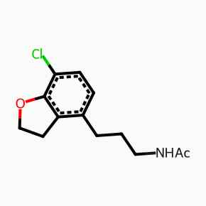 CC(=O)NCCCc1ccc(Cl)c2c1CCO2